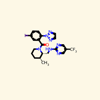 C[C@@H]1CCCN(C(=O)c2cc(I)ccc2-n2nccn2)[C@@H]1CNc1ncc(C(F)(F)F)cn1